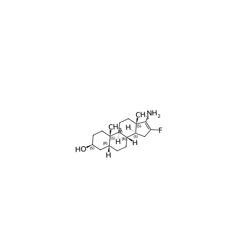 C[C@]12CC[C@H](O)C[C@H]1CC[C@@H]1[C@@H]2CC[C@]2(C)C(N)=C(F)C[C@@H]12